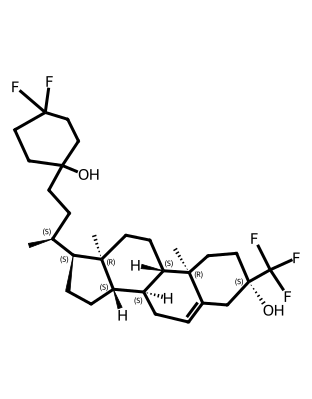 C[C@@H](CCC1(O)CCC(F)(F)CC1)[C@@H]1CC[C@H]2[C@@H]3CC=C4C[C@](O)(C(F)(F)F)CC[C@]4(C)[C@H]3CC[C@@]21C